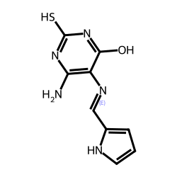 Nc1nc(S)nc(O)c1/N=C/c1ccc[nH]1